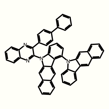 c1ccc(-c2ccc(-c3nc4ccccc4nc3-n3c4cc5ccccc5cc4c4c(-n5c6ccccc6c6cc7ccccc7cc65)cccc43)cc2)cc1